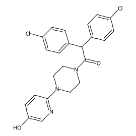 O=C(C(c1ccc(Cl)cc1)c1ccc(Cl)cc1)N1CCN(c2ccc(O)cn2)CC1